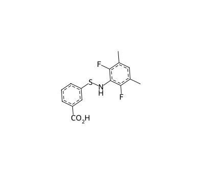 Cc1cc(C)c(F)c(NSc2cccc(C(=O)O)c2)c1F